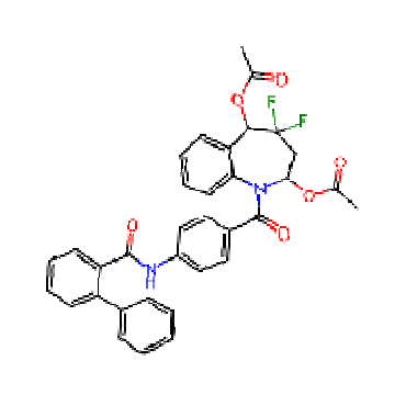 CC(=O)OC1CC(F)(F)C(OC(C)=O)c2ccccc2N1C(=O)c1ccc(NC(=O)c2ccccc2-c2ccccc2)cc1